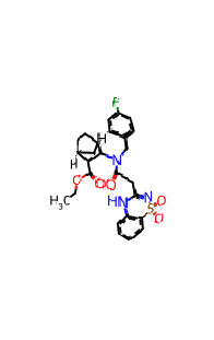 CCOC(=O)C1C(N(Cc2ccc(F)cc2)C(=O)CC2=NS(=O)(=O)c3ccccc3N2)[C@@H]2CC[C@H]1C2